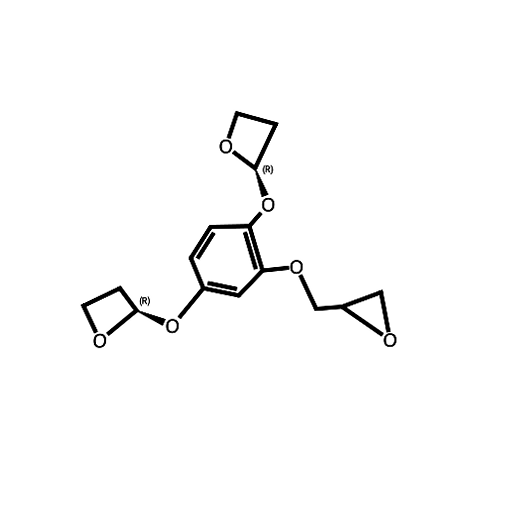 c1cc(O[C@@H]2CCO2)c(OCC2CO2)cc1O[C@@H]1CCO1